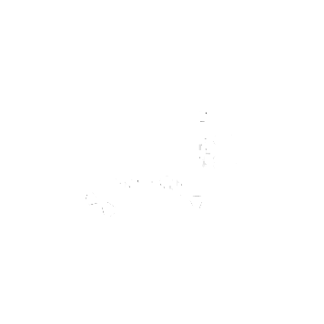 CC(C)(C)OC(=O)CC[C@H](NC(=O)N[C@@H](CCCCNC(=O)[C@H](CCCc1ccccc1)NC(=O)C1CCC(CNC(=O)OCC2c3ccccc3-c3ccccc32)CC1)C(=O)OC(C)(C)C)C(=O)OC(C)(C)C